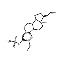 C=C/C=C1\CCC2C3CCc4cc(OS(N)(=O)=O)c(OC)cc4C3CC[C@]12C